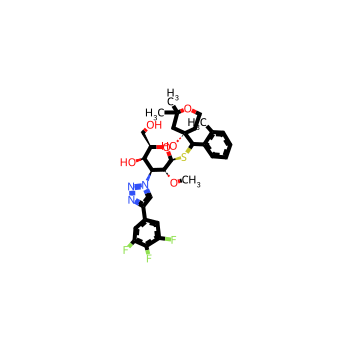 CO[C@@H]1[C@@H](n2cc(-c3cc(F)c(F)c(F)c3)nn2)[C@@H](O)[C@@H](CO)O[C@H]1SC(c1ccccc1C)[C@]1(O)CCOC(C)(C)C1